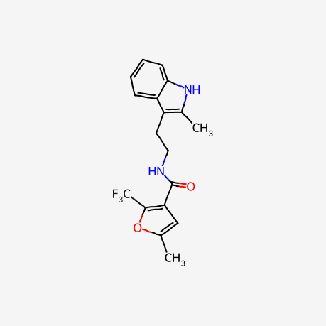 Cc1cc(C(=O)NCCc2c(C)[nH]c3ccccc23)c(C(F)(F)F)o1